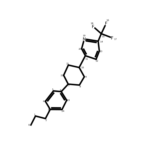 CCCc1ccc(C2CCC(c3ccc(C(F)(F)F)nc3)CC2)cc1